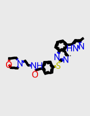 Cc1cc(-c2cccc3nc(Sc4ccc(C(=O)NCCN5CCOCC5)cc4)n[c]c23)[nH]n1